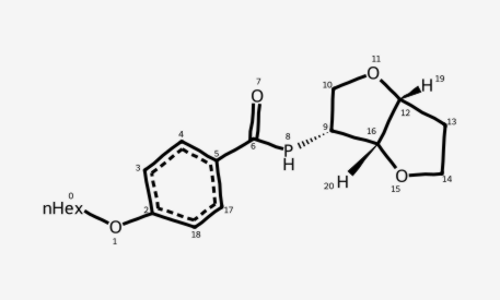 CCCCCCOc1ccc(C(=O)P[C@@H]2CO[C@@H]3CCO[C@@H]32)cc1